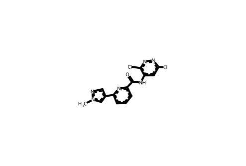 Cn1cc(-c2cccc(C(=O)Nc3cc(Cl)nnc3Cl)n2)cn1